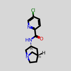 O=C(N[C@@H]1C[C@@H]2CCN(C2)C1)c1ccc(Cl)cn1